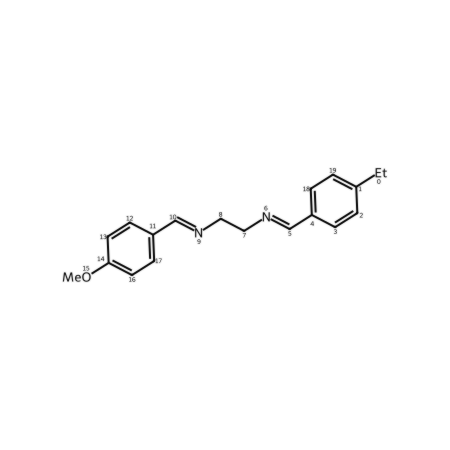 CCc1ccc(/C=N/CC/N=C/c2ccc(OC)cc2)cc1